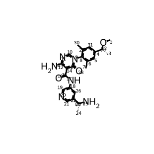 CO[C@H](C)c1cc(C)c(-n2cnc(N)c(C(=O)Nc3cncc([C@@H](C)N)c3)c2=O)c(C)c1